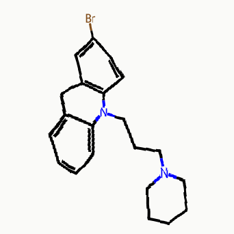 Brc1ccc2c(c1)Cc1ccccc1N2CCCN1CCCCC1